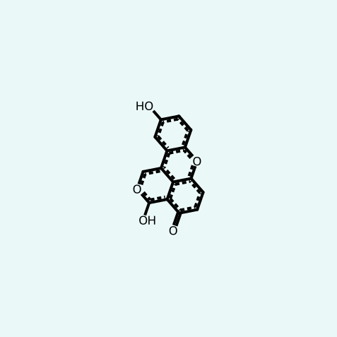 O=c1ccc2oc3ccc(O)cc3c3coc(O)c1c23